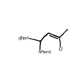 CCCCCC(C=C(C)Cl)CCCCC